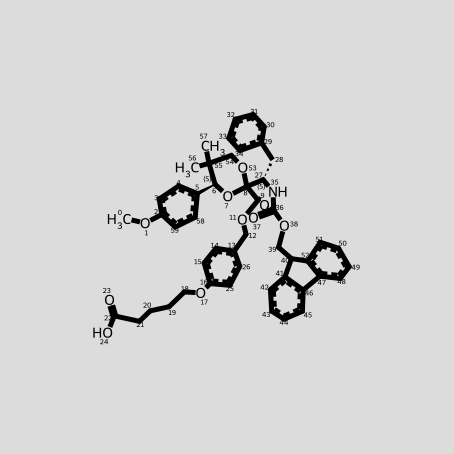 COc1ccc([C@@H]2OC(C(=O)OCc3ccc(OCCCCC(=O)O)cc3)([C@H](Cc3ccccc3)NC(=O)OCC3c4ccccc4-c4ccccc43)OCC2(C)C)cc1